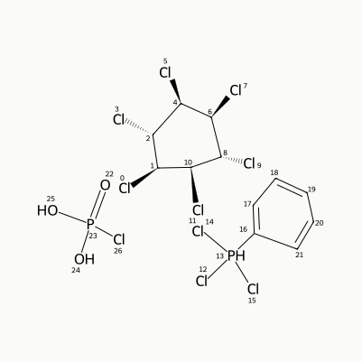 Cl[C@H]1[C@H](Cl)[C@@H](Cl)[C@@H](Cl)[C@H](Cl)[C@H]1Cl.Cl[PH](Cl)(Cl)c1ccccc1.O=P(O)(O)Cl